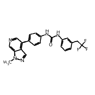 Cn1ncc2c(-c3ccc(NC(=O)Nc4cccc(CC(F)(F)F)c4)cc3)cncc21